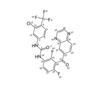 O=C(Nc1ccc(C(F)(F)F)c(Cl)c1)Nc1ccc(F)c(C(=O)c2ccc3nccnc3c2)c1F